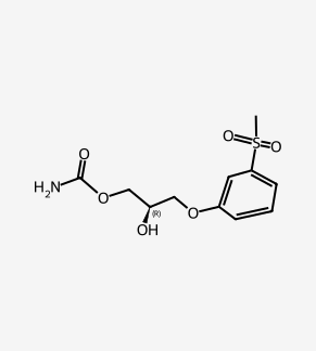 CS(=O)(=O)c1cccc(OC[C@@H](O)COC(N)=O)c1